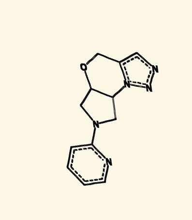 c1ccc(N2CC3OCc4cnnn4C3C2)nc1